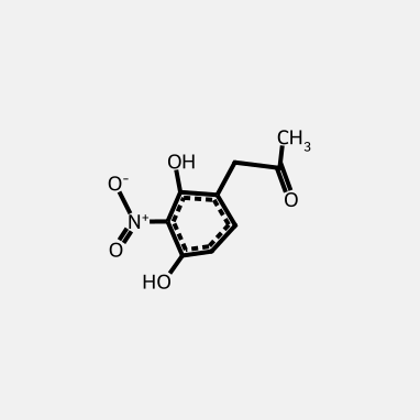 CC(=O)Cc1ccc(O)c([N+](=O)[O-])c1O